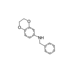 c1ccc(CNc2ccc3c(c2)OCCO3)cc1